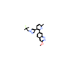 COc1cc2ccc(-c3nc(C)ccc3-c3cnn(CC(C)(C)F)c3)cc2nn1